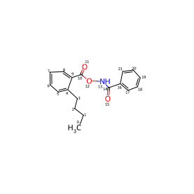 CCCCc1ccccc1C(=O)ONC(=O)c1ccccc1